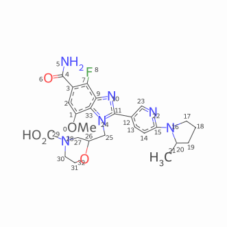 COc1cc(C(N)=O)c(F)c2nc(-c3ccc(N4CCCC4C)nc3)n(CC3CN(C(=O)O)CCO3)c12